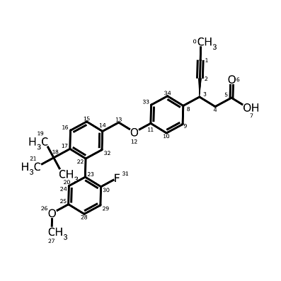 CC#C[C@@H](CC(=O)O)c1ccc(OCc2ccc(C(C)(C)C)c(-c3cc(OC)ccc3F)c2)cc1